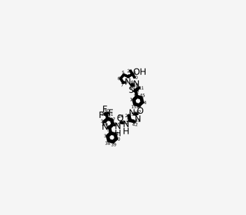 CC(C)(O)C1CCCN1c1ncc(-c2ccc(Oc3ncc(NC(=O)Nc4cc(C(F)(F)F)cnc4-c4ccccc4)cn3)cc2)s1